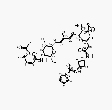 CC(=O)O[C@@H](C)/C=C\C(=O)N[C@@H]1C[C@H](C)[C@H](C/C=C(C)/C=C/[C@H]2O[C@H](CC(=O)N[C@H]3C[C@H](NC(=O)n4ccnc4)C3)C[C@@]3(CO3)[C@@H]2O)O[C@@H]1C